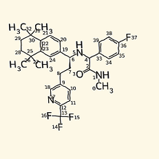 CNC(=O)C(N[C@@H](CCc1ccc(C(F)(F)F)nc1)c1ccc2c(c1)C(C)(C)CCC2(C)C)c1ccc(F)cc1